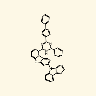 c1ccc(C2=NC(c3ccc(-c4ccccc4)cc3)=NC(c3cccc4oc5cc(-n6c7ccccc7c7ccccc76)ccc5c34)N2)cc1